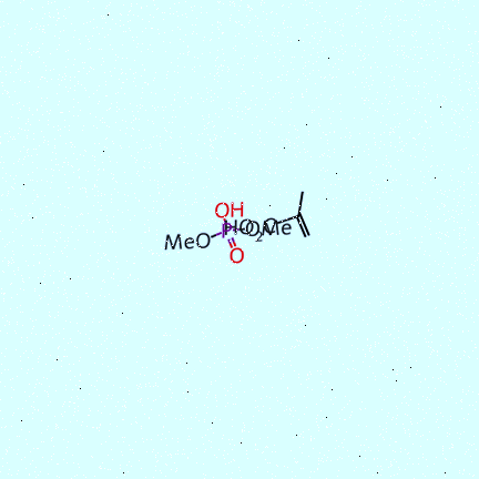 C=C(C)C(=O)O.COP(=O)(O)OC